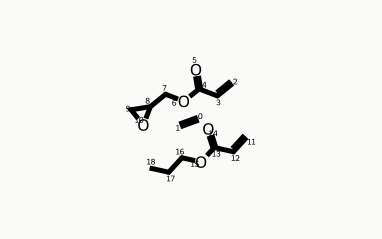 C=C.C=CC(=O)OCC1CO1.C=CC(=O)OCCC